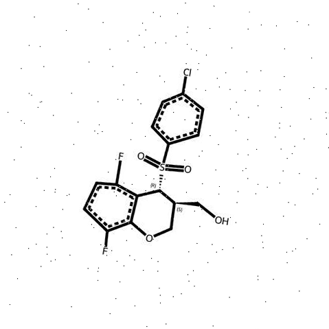 O=S(=O)(c1ccc(Cl)cc1)[C@H]1c2c(F)ccc(F)c2OC[C@@H]1CO